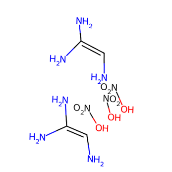 NC=C(N)N.NC=C(N)N.O=[N+]([O-])O.O=[N+]([O-])O.O=[N+]([O-])O